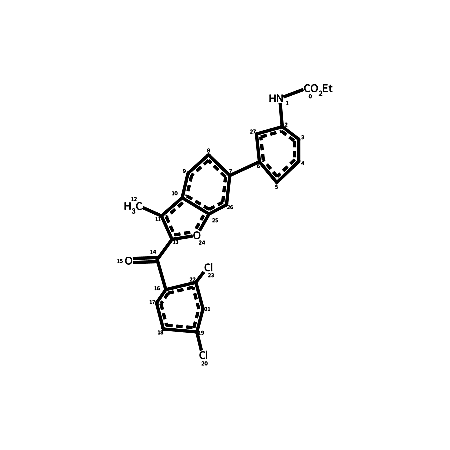 CCOC(=O)Nc1cccc(-c2ccc3c(C)c(C(=O)c4ccc(Cl)cc4Cl)oc3c2)c1